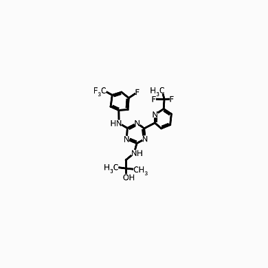 CC(C)(O)CNc1nc(Nc2cc(F)cc(C(F)(F)F)c2)nc(-c2cccc(C(C)(F)F)n2)n1